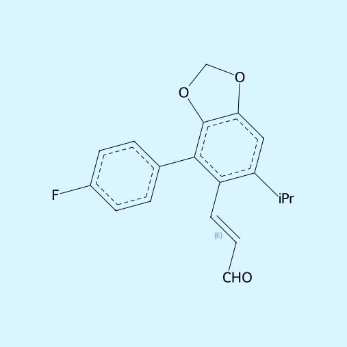 CC(C)c1cc2c(c(-c3ccc(F)cc3)c1/C=C/C=O)OCO2